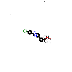 CC(C)(O)c1cccc(-c2ccc3nc(-c4ccc(Cl)cc4)cn3c2)c1